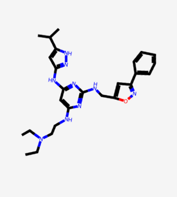 CCN(CC)CCNc1cc(Nc2cc(C(C)C)[nH]n2)nc(NCc2cc(-c3ccccc3)no2)n1